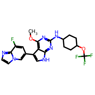 COc1nc(NC2CCC(OC(F)(F)F)CC2)nc2[nH]cc(-c3cc(F)c4nccn4c3)c12